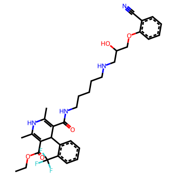 CCOC(=O)C1=C(C)NC(C)=C(C(=O)NCCCCCNCC(O)COc2ccccc2C#N)C1c1ccccc1C(F)(F)F